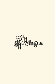 CC(C)(C)OC(=O)NCc1ccc(C(=O)Nc2ccc(Nc3nc(-c4cccc5c4oc4ccccc45)cc4ccnn34)cc2)o1